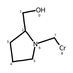 OCC1CCCN1[CH2][Cr]